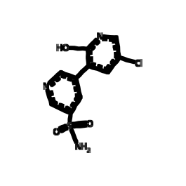 NS(=O)(=O)c1cncc(-c2cc(Cl)cnc2O)c1